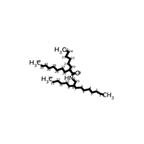 CCCCCCCCC(CCCCCC)CNC(=O)C(CCCCCC)CCCCCCCC